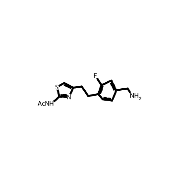 CC(=O)Nc1nc(CCc2ccc(CN)cc2F)cs1